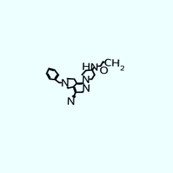 C=CC(=O)NC1CCN(c2ncc(C#N)c3c2CCN(Cc2ccccc2)C3)CC1